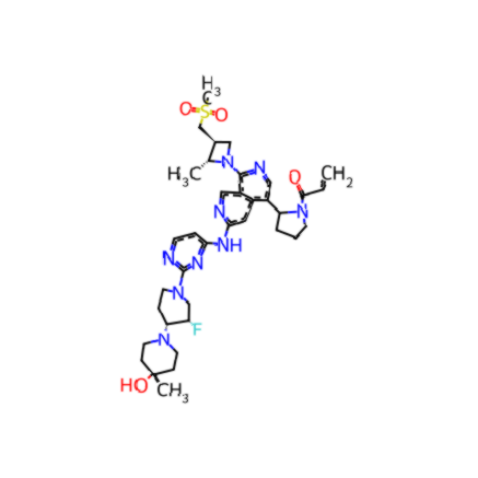 C=CC(=O)N1CCCC1c1cnc(N2C[C@H](CS(C)(=O)=O)[C@H]2C)c2cnc(Nc3ccnc(N4CC[C@@H](N5CCC(C)(O)CC5)[C@@H](F)C4)n3)cc12